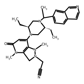 CC[C@H]1CN(C(C)c2ccc3ccncc3c2)[C@H](CC)CN1c1cc(=O)n(C)c2c1N(C)N(CC#N)C2